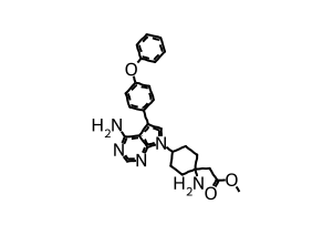 COC(=O)CC1(N)CCC(n2cc(-c3ccc(Oc4ccccc4)cc3)c3c(N)ncnc32)CC1